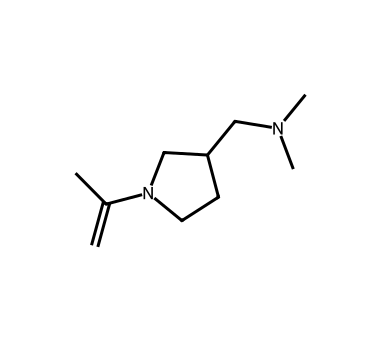 C=C(C)N1CCC(CN(C)C)C1